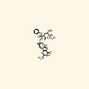 CCCC(CCC)CN([C@@H](C)C(=O)O)[P@](=O)(OC[C@@]1(CO)C/C1=C/n1cnc2c(=O)[nH]c(N)nc21)Oc1ccccc1